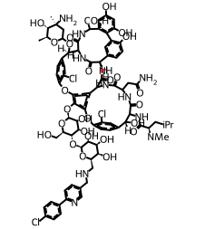 CN[C@H](CC(C)C)C(=O)NC1C(=O)NC(CC(N)=O)C(=O)N[C@H]2C(=O)N[C@H]3C(=O)N[C@H](C(=O)NC(C(=O)O)c4cc(O)cc(O)c4-c4cc3ccc4O)[C@H](OC3C[C@](C)(N)[C@@H](O)[C@H](C)O3)c3ccc(c(Cl)c3)Oc3cc2cc(c3O[C@@H]2O[C@H](CO)[C@@H](O[C@@H]3O[C@H](CNCc4ccc(-c5ccc(Cl)cc5)nc4)[C@H](O)[C@H](O)[C@H]3O)[C@H](O)[C@H]2O)Oc2ccc(cc2Cl)[C@H]1O